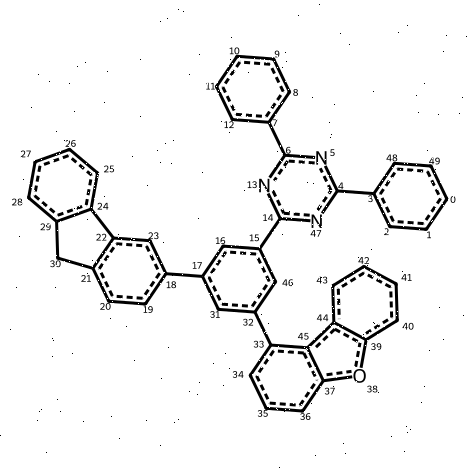 c1ccc(-c2nc(-c3ccccc3)nc(-c3cc(-c4ccc5c(c4)-c4ccccc4C5)cc(-c4cccc5oc6ccccc6c45)c3)n2)cc1